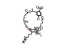 COc1cc2c([N+](=O)[O-])cc1OCCCC(=O)NC(NC(=O)CCCN=[N+]=[N-])(C(N)=O)CSSCCNCCCC(=O)OC2C